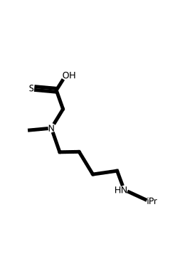 CC(C)NCCCCN(C)CC(O)=S